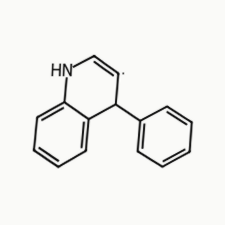 [C]1=CNc2ccccc2C1c1ccccc1